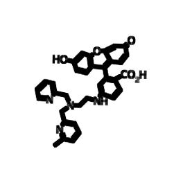 Cc1cccc(CN(CCNc2ccc(C(=O)O)c(-c3c4ccc(=O)cc-4oc4cc(O)ccc34)c2)Cc2ccccn2)n1